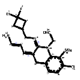 CCC1(F)CC(C\N=C2/C(=C\C=C\N)Cc3ccc(Cl)c(SC)c3N2CC=O)C1